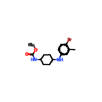 Cc1cc(NC2CCC(NC(=O)OC(C)(C)C)CC2)ccc1Br